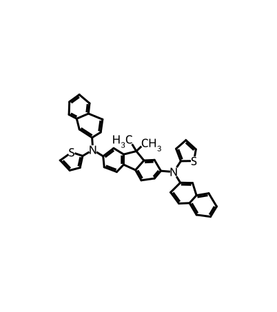 CC1(C)c2cc(N(c3ccc4ccccc4c3)c3cccs3)ccc2-c2ccc(N(c3ccc4ccccc4c3)c3cccs3)cc21